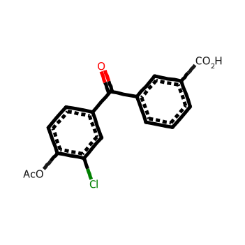 CC(=O)Oc1ccc(C(=O)c2cccc(C(=O)O)c2)cc1Cl